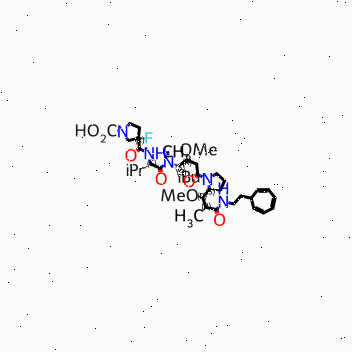 CC[C@H](C)[C@@H]([C@@H](CC(=O)N1CCC[C@H]1[C@H](OC)[C@@H](C)C(=O)NCCC1C=CC=CC=C1)OC)N(C)C(=O)[C@@H](NC(=O)[C@@]1(F)CCN(C(=O)O)C1)C(C)C